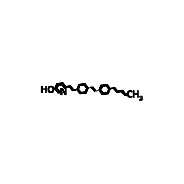 CCCCC[C@H]1CC[C@H](CC[C@H]2CC[C@H](CCc3ccc(O)cn3)CC2)CC1